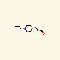 CCCN1CCN(CC[C]=O)CC1